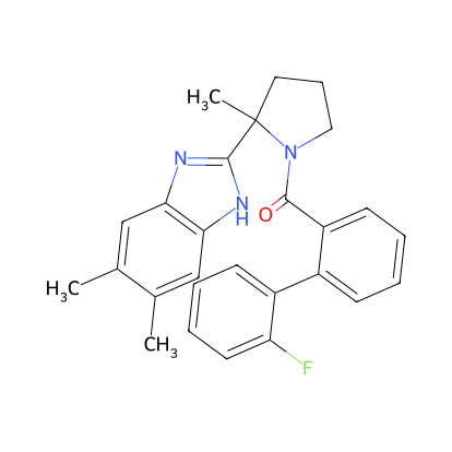 Cc1cc2nc(C3(C)CCCN3C(=O)c3ccccc3-c3ccccc3F)[nH]c2cc1C